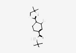 CC1(C)COC(C2CCC(C(=O)NC(C)(C)C)=CC2Br)=N1